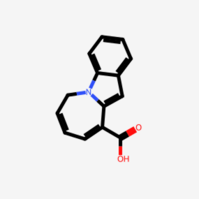 O=C(O)C1=CC=CCn2c1cc1ccccc12